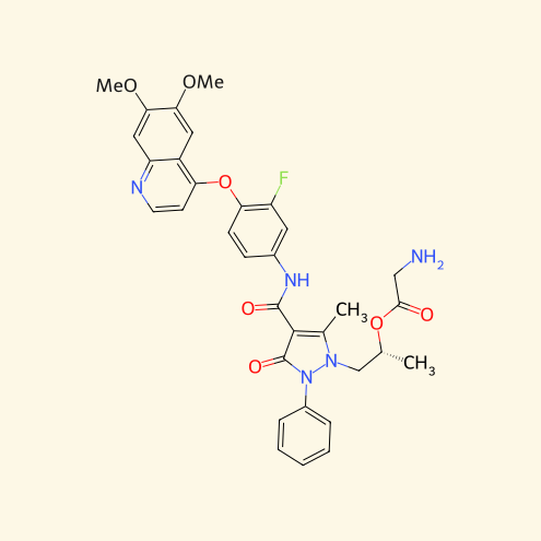 COc1cc2nccc(Oc3ccc(NC(=O)c4c(C)n(C[C@@H](C)OC(=O)CN)n(-c5ccccc5)c4=O)cc3F)c2cc1OC